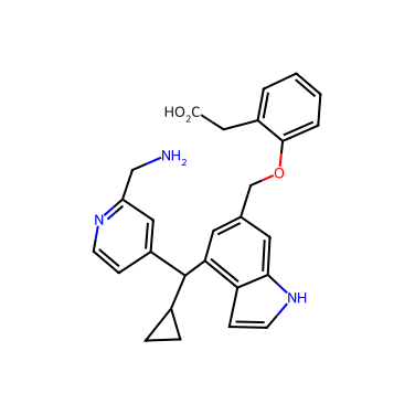 NCc1cc(C(c2cc(COc3ccccc3CC(=O)O)cc3[nH]ccc23)C2CC2)ccn1